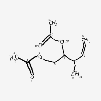 C=CC(C)C(COC(C)=O)OC(C)=O